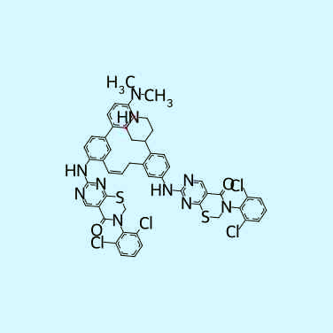 CN(C)c1ccc(-c2ccc(Nc3ncc4c(n3)SCN(c3c(Cl)cccc3Cl)C4=O)c(/C=C\Cc3cc(Nc4ncc5c(n4)SCN(c4c(Cl)cccc4Cl)C5=O)ccc3C3CCNCC3)c2)cc1